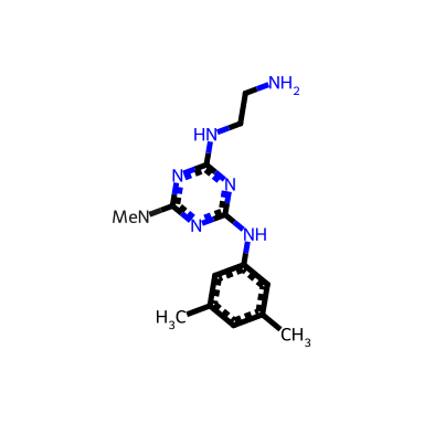 CNc1nc(NCCN)nc(Nc2cc(C)cc(C)c2)n1